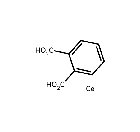 O=C(O)c1ccccc1C(=O)O.[Ce]